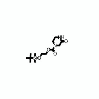 CC(C)(C)[Si](C)(C)OCCOC(=O)N1CCNC(=O)C1